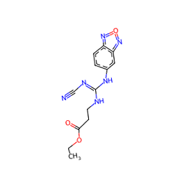 CCOC(=O)CCNC(=NC#N)Nc1ccc2nonc2c1